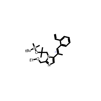 C=Cc1ccccc1/C=C(\C)c1cnc(COCC)n1CC(C)(C)O[Si](C)(C)C(C)(C)C